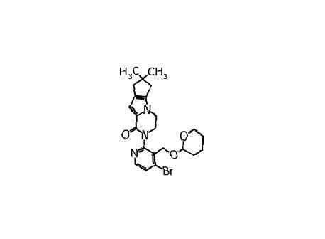 CC1(C)Cc2cc3n(c2C1)CCN(c1nccc(Br)c1COC1CCCCO1)C3=O